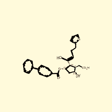 O=C(O)C[C@@H]1[C@@H](C(O)=CCCc2cccs2)[C@@H](OC(=O)c2ccc(-c3ccccc3)cc2)C[C@@H]1O